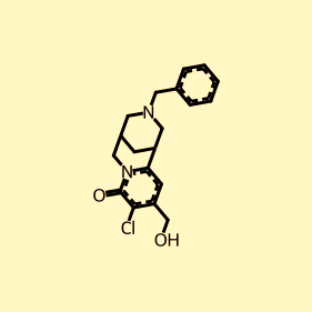 O=c1c(Cl)c(CO)cc2n1CC1CC2CN(Cc2ccccc2)C1